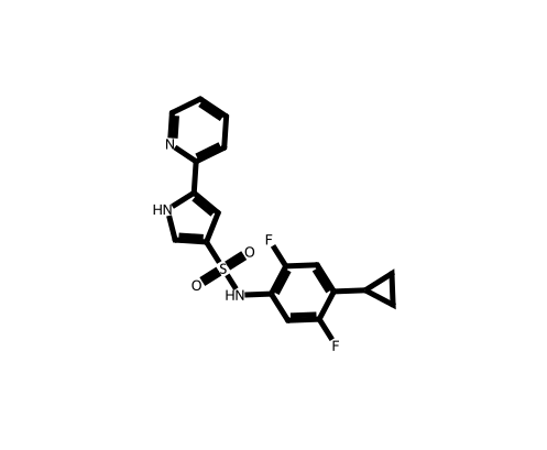 O=S(=O)(Nc1cc(F)c(C2CC2)cc1F)c1c[nH]c(-c2ccccn2)c1